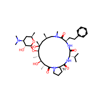 CC(C)[C@@H]1NC(=O)[C@H]2CCCN2C(=O)[C@H](C)[C@@H](O)[C@H](C)[C@@H](O[C@@H]2O[C@H](C)C[C@H](N(C)C)[C@H]2O)[C@](C)(O)C[C@@H](C)CN(C)C(=O)[C@@H](CCc2ccccc2)NC1=O